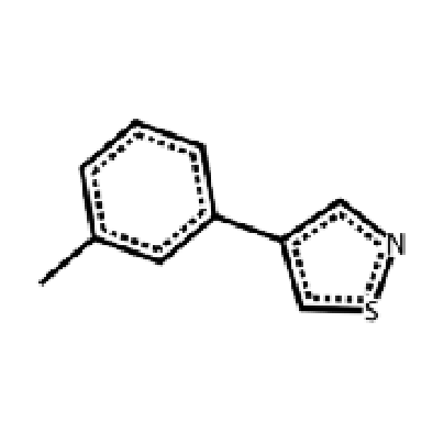 Cc1cccc(-c2cnsc2)c1